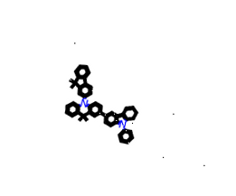 CC1(C)c2ccccc2-c2ccc(N3c4ccccc4C(C)(C)c4cc(-c5ccc6c(c5)c5c(n6-c6ccccc6)CCC=C5)ccc43)cc21